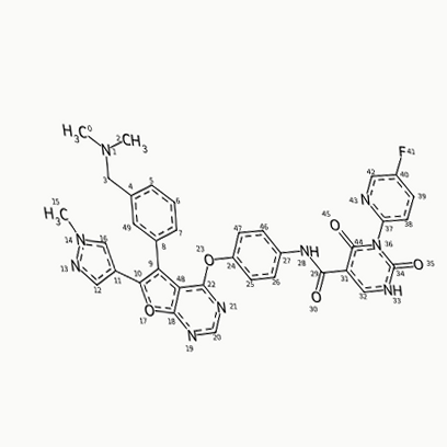 CN(C)Cc1cccc(-c2c(-c3cnn(C)c3)oc3ncnc(Oc4ccc(NC(=O)c5c[nH]c(=O)n(-c6ccc(F)cn6)c5=O)cc4)c23)c1